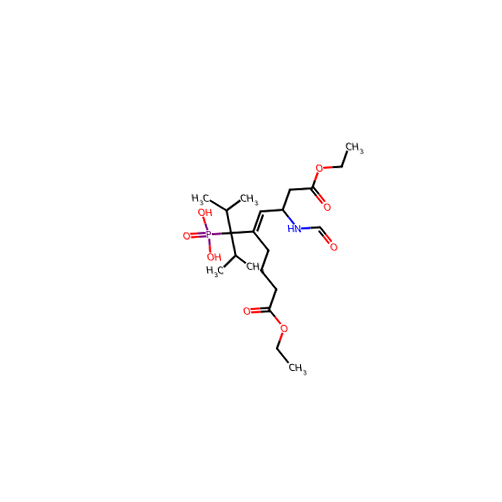 CCOC(=O)CCCC(=CC(CC(=O)OCC)NC=O)C(C(C)C)(C(C)C)P(=O)(O)O